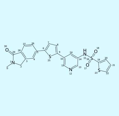 CN1Cc2cc(-c3ccc(-c4cncc(NS(=O)(=O)c5cccs5)c4)s3)ccc2C1=O